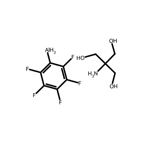 Fc1c(F)c(F)[c]([AlH2])c(F)c1F.NC(CO)(CO)CO